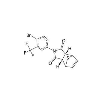 O=C1[C@@H]2C3C=CC(S3)[C@@H]2C(=O)N1c1ccc(Br)c(C(F)(F)F)c1